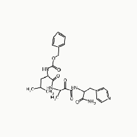 CC(C)CC(NC(=O)OCc1ccccc1)C(=O)NC(C)C(=O)C(=O)NC(Cc1ccncc1)C(N)=O